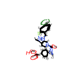 Cc1nn(Cc2ccc(Cl)cc2F)c2c1CCN(C(=O)N(C)[C@H]1CC[C@@H](C(=O)O)CC1)C2